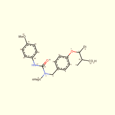 CCCCCCCN(Cc1ccc(OC(CC)C(C)C(=O)O)cc1)C(=O)Nc1ccc(OC)cc1